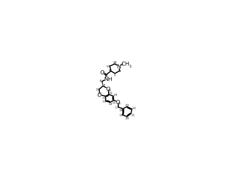 CN1CCC(C(=O)NC[C@@H]2COc3ccc(OCc4ccccc4)cc3O2)CC1